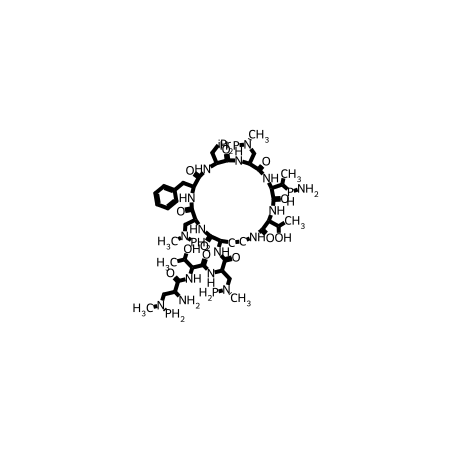 CC(C)CC1NC(=O)C(Cc2ccccc2)NC(=O)C(CN(C)P)NC(=O)C(NC(=O)C(CN(C)P)NC(=O)C(NC(=O)C(N)CN(C)P)C(C)O)CCNC(=O)C(C(C)O)NC(=O)C(C(C)PN)NC(=O)C(CN(C)P)NC1=O